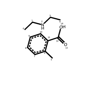 CCNCC.Cc1ccccc1C(=O)O